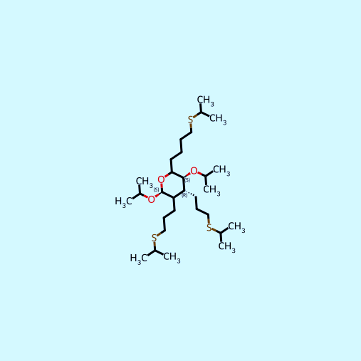 CC(C)O[C@H]1OC(CCCCSC(C)C)[C@@H](OC(C)C)[C@H](CCCSC(C)C)C1CCCSC(C)C